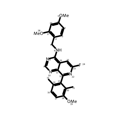 COc1ccc(CNc2ncnc3c(-c4c(C)ccc(OC)c4C)nc(F)cc23)c(OC)c1